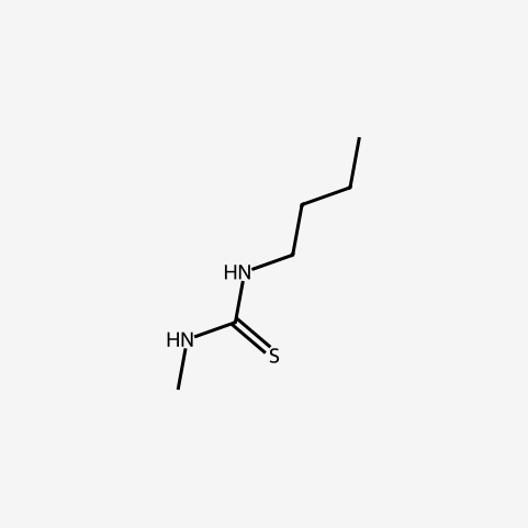 CCCCNC(=S)NC